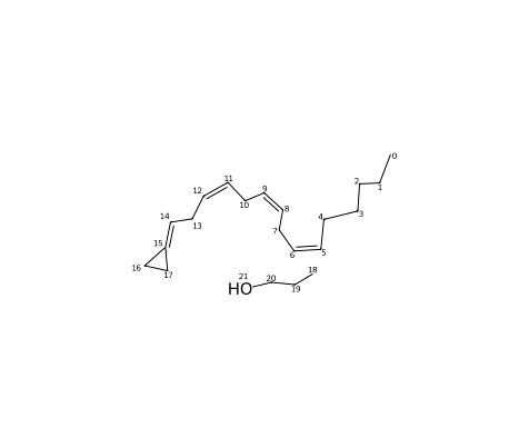 CCCCC/C=C\C/C=C\C/C=C\CC=C1CC1.CCCO